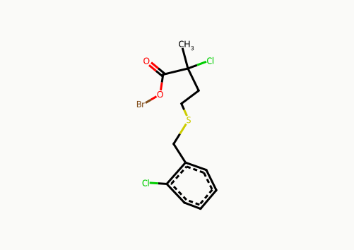 CC(Cl)(CCSCc1ccccc1Cl)C(=O)OBr